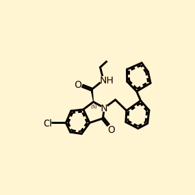 CCNC(=O)[C@@H]1c2cc(Cl)ccc2C(=O)N1Cc1ccccc1-c1ccccc1